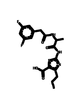 CCCc1nc(NC(=O)C(C)NC(=O)Cc2cc(F)cc(F)c2)sc1C(=O)O